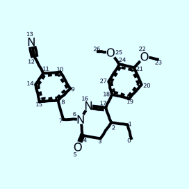 CCC1CC(=O)N(Cc2ccc(C#N)cc2)N=C1c1ccc(OC)c(OC)c1